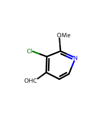 COc1nccc(C=O)c1Cl